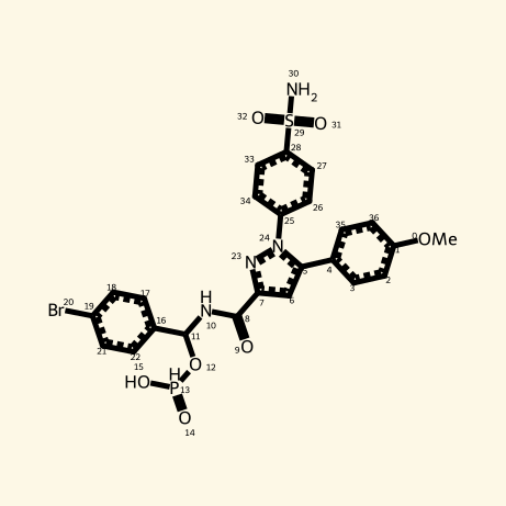 COc1ccc(-c2cc(C(=O)NC(O[PH](=O)O)c3ccc(Br)cc3)nn2-c2ccc(S(N)(=O)=O)cc2)cc1